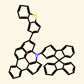 c1cc(-c2ccc3sc4ccccc4c3c2)cc(N(c2ccc3c(c2)C2(c4ccccc4-c4ccccc42)c2ccccc2-3)c2cccc3c4ccccc4c4ccccc4c23)c1